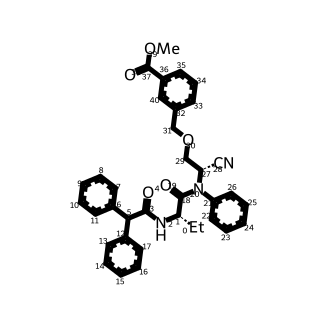 CC[C@H](NC(=O)C(c1ccccc1)c1ccccc1)C(=O)N(c1ccccc1)[C@@H](C#N)COCc1cccc(C(=O)OC)c1